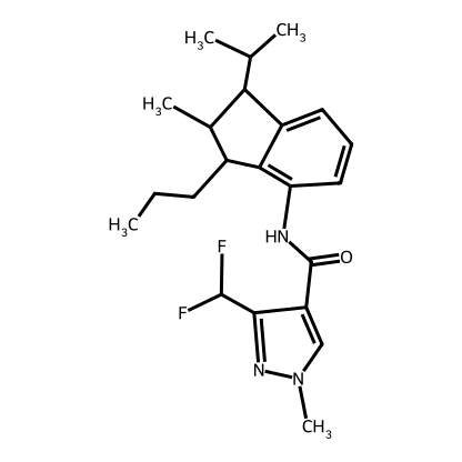 CCCC1c2c(NC(=O)c3cn(C)nc3C(F)F)cccc2C(C(C)C)C1C